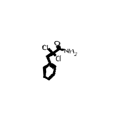 NC(=O)C(Cl)(Cl)Cc1ccccc1